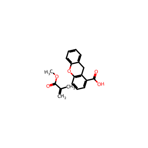 C=C(C)C(=O)OC.O=C(O)c1cccc2c1Cc1ccccc1O2